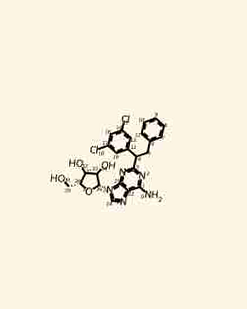 Nc1nc(C(Cc2ccccc2)c2cc(Cl)cc(Cl)c2)nc2c1ncn2[C@@H]1O[C@H](CO)C(O)C1O